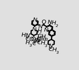 C[C@H]1CN(c2ccncc2NC(=O)c2nc3cc(C4CCN(C)CC4)ccc3cc2N)C[C@@H](NC(=O)O)[C@@H]1O[Si](C)(C)C(C)(C)C